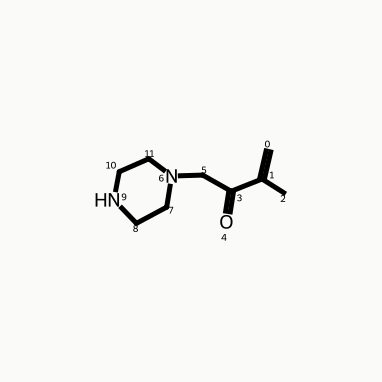 C=C(C)C(=O)CN1CCNCC1